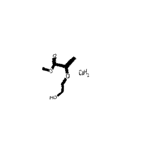 C=C(OCCO)C(=O)OC.[CaH2]